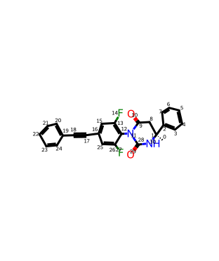 C[C@@]1(c2ccccc2)CC(=O)N(c2c(F)cc(C#Cc3ccccc3)cc2F)C(=O)N1